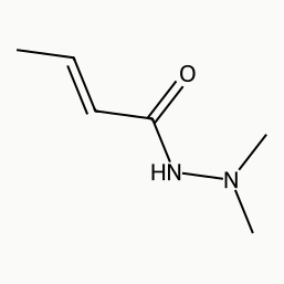 CC=CC(=O)NN(C)C